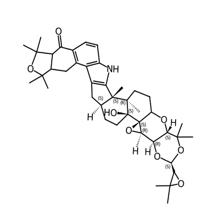 CC1(C)OC(C)(C)C2C(=O)c3ccc4[nH]c5c(c4c3CC21)C[C@@H]1CC[C@]2(O)[C@](C)(CCC3O[C@H]4[C@@H](O[C@H](C6OC6(C)C)OC4(C)C)[C@H]4O[C@@]342)[C@@]51C